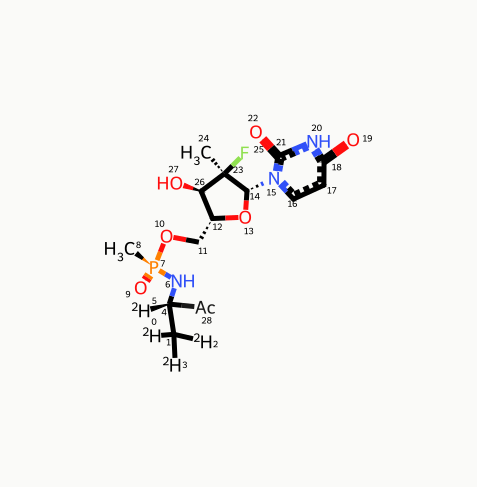 [2H]C([2H])([2H])[C@]([2H])(N[P@](C)(=O)OC[C@H]1O[C@@H](n2ccc(=O)[nH]c2=O)[C@](C)(F)[C@@H]1O)C(C)=O